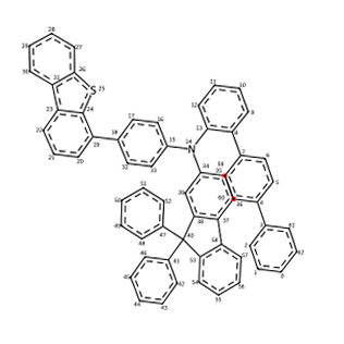 c1ccc(-c2ccc(-c3ccccc3N(c3ccc(-c4cccc5c4sc4ccccc45)cc3)c3ccc4c(c3)C(c3ccccc3)(c3ccccc3)c3ccccc3-4)cc2)cc1